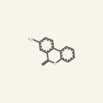 C=C1Oc2ccccc2-c2ccc(N)cc21